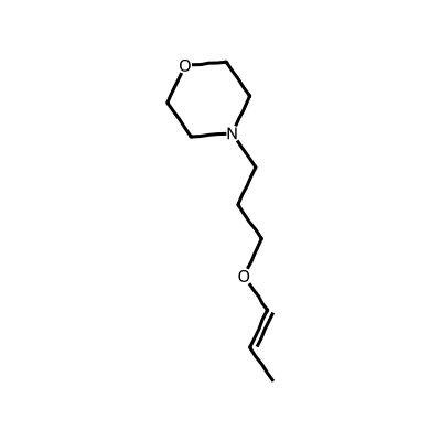 C/C=C/OCCCN1CCOCC1